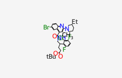 CCC1CCCN(c2nc3ccc(Br)cc3c(C(=O)NCC(CCC(=O)OC(C)(C)C)c3c(F)ccc(F)c3Cl)c2C)C1